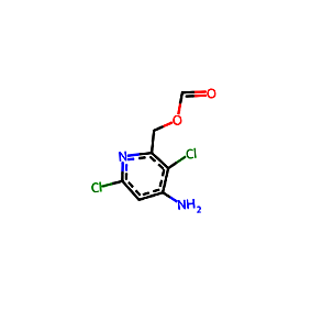 Nc1cc(Cl)nc(COC=O)c1Cl